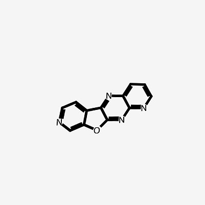 c1cnc2nc3oc4cnccc4c3nc2c1